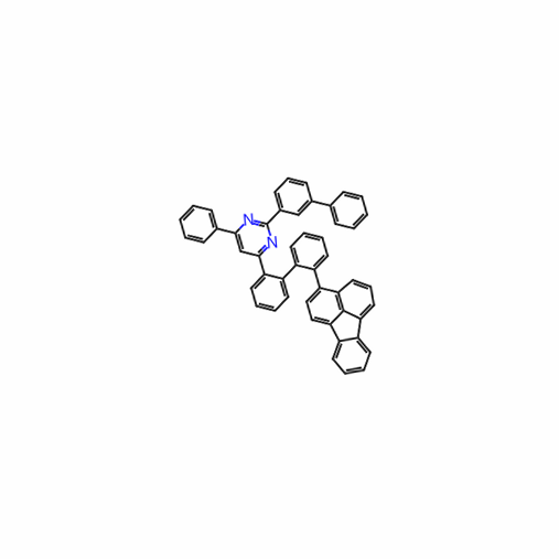 c1ccc(-c2cccc(-c3nc(-c4ccccc4)cc(-c4ccccc4-c4ccccc4-c4ccc5c6c(cccc46)-c4ccccc4-5)n3)c2)cc1